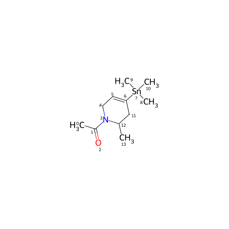 CC(=O)N1CC=[C]([Sn]([CH3])([CH3])[CH3])CC1C